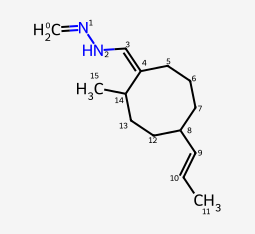 C=NN/C=C1/CCCC(/C=C/C)CCC1C